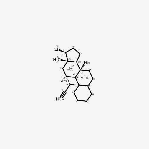 C#CC(OC(C)=O)[C@]12CCCCC1CC[C@@H]1[C@@H]2CC[C@]2(C)[C@@H](CC)CC[C@@H]12